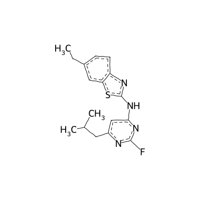 CCc1ccc2nc(Nc3cc(CC(C)C)nc(F)n3)sc2c1